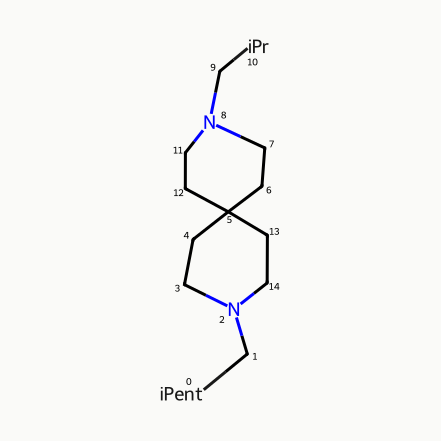 CCCC(C)CN1CCC2(CCN(CC(C)C)CC2)CC1